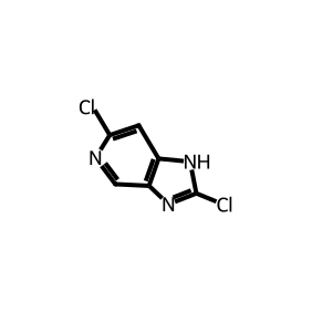 Clc1cc2[nH]c(Cl)nc2cn1